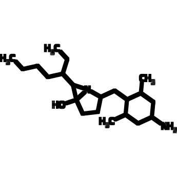 CCCCC(CC)C1N2C(CC3C(C)CC(N)CC3C)CCC12O